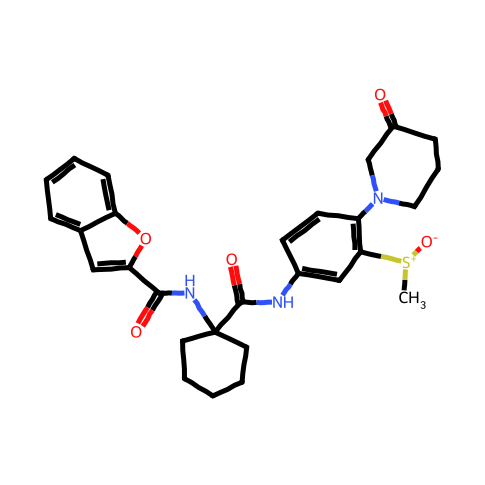 C[S+]([O-])c1cc(NC(=O)C2(NC(=O)c3cc4ccccc4o3)CCCCC2)ccc1N1CCCC(=O)C1